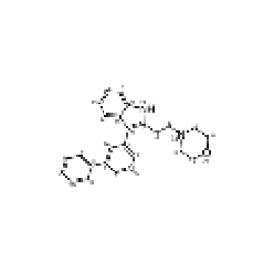 c1ccc(-c2cncc(-c3c(CCN4CCOCC4)[nH]c4ccccc34)c2)cc1